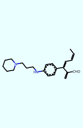 C=C(C=O)/C(=C\C=C/C)c1ccc(NCCCN2CCCCC2)cc1